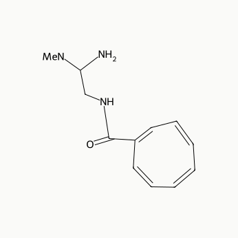 CNC(N)CNC(=O)C1=C/C=C\C=C/C=C\1